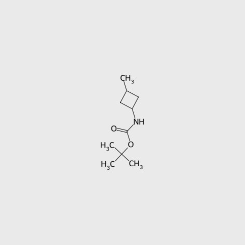 CC1CC(NC(=O)OC(C)(C)C)C1